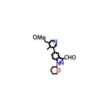 COCc1cncc(-c2ccc3c(c2)c(C=O)nn3C2CCCCO2)c1C